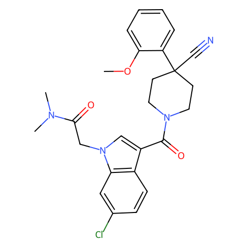 COc1ccccc1C1(C#N)CCN(C(=O)c2cn(CC(=O)N(C)C)c3cc(Cl)ccc23)CC1